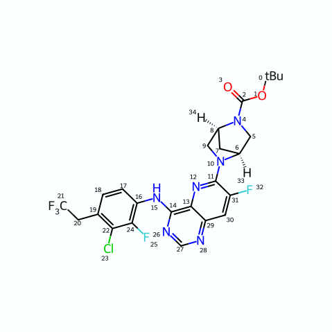 CC(C)(C)OC(=O)N1C[C@@H]2C[C@H]1CN2c1nc2c(Nc3ccc(CC(F)(F)F)c(Cl)c3F)ncnc2cc1F